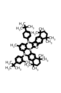 Cc1cc2c3c(c1)N(c1ccc(C(C)(C)C)cc1C)c1cc4c(cc1B3c1oc3cc5c(cc3c1N2C1=CC=C(C(C)(C)C)CC1)C(C)(C)CCC5(C)C)C(C)(C)CCC4(C)C